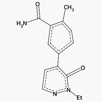 CCn1nccc(-c2ccc(C)c(C(N)=O)c2)c1=O